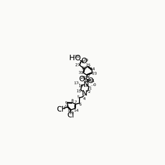 C[C@@H]1CN(CCCc2ccc(Cl)c(Cl)c2)C[C@H](C)N1S(=O)(=O)c1cccc(CC(=O)O)c1